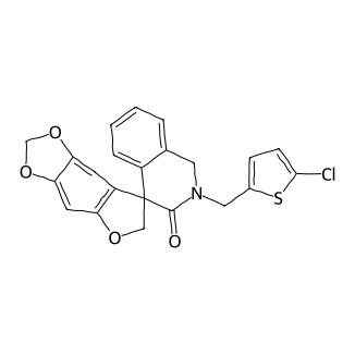 O=C1N(Cc2ccc(Cl)s2)Cc2ccccc2C12COc1cc3c(cc12)OCO3